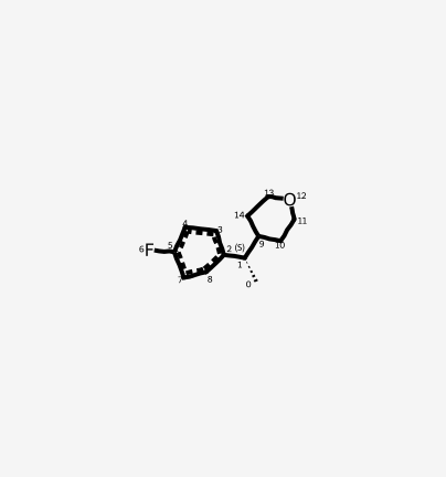 C[C@H](c1ccc(F)cc1)C1CCOCC1